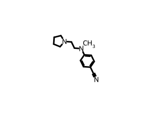 CN(CCN1CCCC1)c1ccc(C#N)cc1